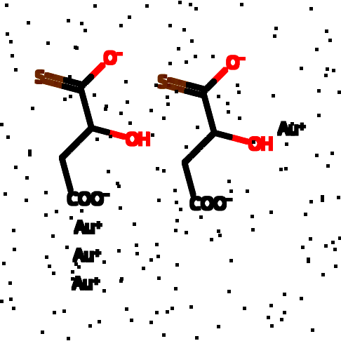 O=C([O-])CC(O)C([O-])=S.O=C([O-])CC(O)C([O-])=S.[Au+].[Au+].[Au+].[Au+]